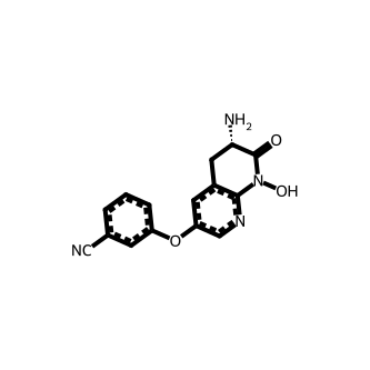 N#Cc1cccc(Oc2cnc3c(c2)C[C@H](N)C(=O)N3O)c1